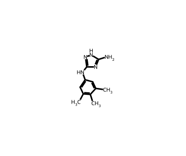 Cc1cc(Nc2n[nH]c(N)n2)cc(C)c1C